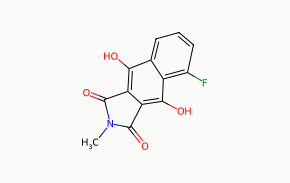 CN1C(=O)c2c(c(O)c3c(F)cccc3c2O)C1=O